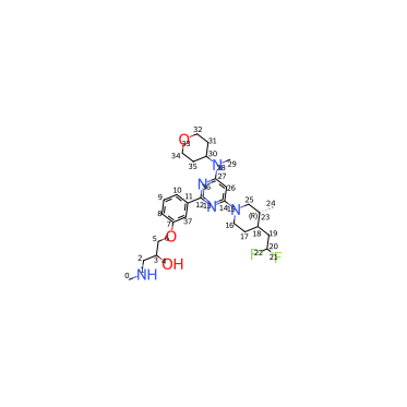 CNCC(O)COc1cccc(-c2nc(N3CCC(CC(F)F)[C@@H](C)C3)cc(N(C)C3CCOCC3)n2)c1